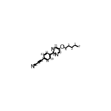 CCCCCOc1cnc(-c2ccc(C#CC#N)cc2)nc1